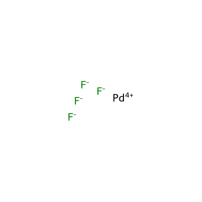 [F-].[F-].[F-].[F-].[Pd+4]